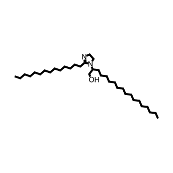 CCCCCCCCCCCCCCCCC(CO)N1CCN=C1CCCCCCCCCCCCCC